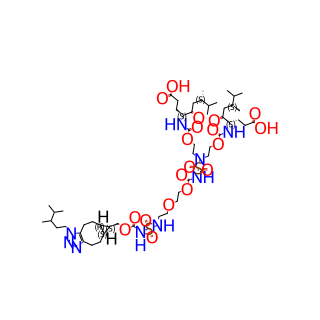 CC(C)C(C)CCn1nnc2c1CC[C@@H]1[C@H](CC2)[C@@H]1COC(=O)NS(=O)(=O)NCCOCCOC(=O)NS(=O)(=O)N(CCOC(=O)N[C@@H](CCC(=O)O)C(=O)C[C@H](C)C(C)C)CCOC(=O)N[C@@H](CCC(=O)O)C(=O)C[C@H](C)C(C)C